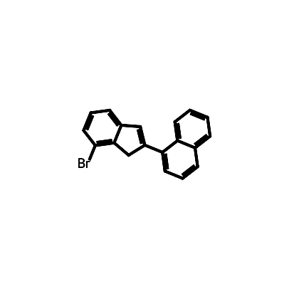 Brc1cccc2c1CC(c1cccc3ccccc13)=C2